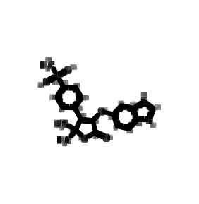 CC1(C)OC(=O)C(Oc2ccc3ncsc3c2)=C1c1ccc(S(C)(=O)=O)cc1